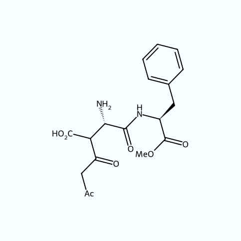 COC(=O)[C@H](Cc1ccccc1)NC(=O)[C@@H](N)C(C(=O)O)C(=O)CC(C)=O